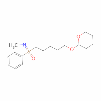 CN=S(=O)(CCCCCOC1CCCCO1)c1ccccc1